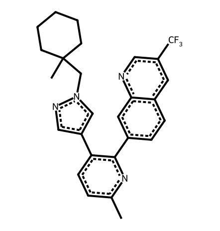 Cc1ccc(-c2cnn(CC3(C)CCCCC3)c2)c(-c2ccc3cc(C(F)(F)F)cnc3c2)n1